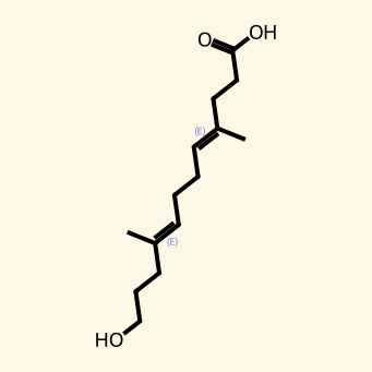 C/C(=C\CC/C=C(\C)CCC(=O)O)CCCO